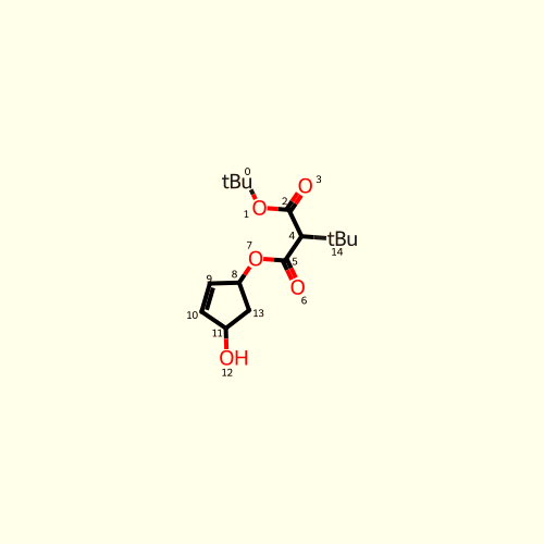 CC(C)(C)OC(=O)C(C(=O)OC1C=CC(O)C1)C(C)(C)C